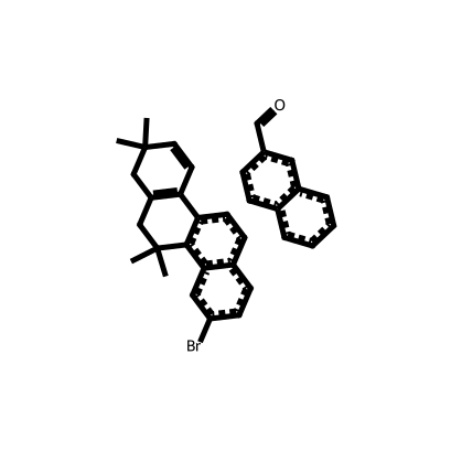 CC1(C)C=CC2=C(C1)CC(C)(C)c1c2ccc2ccc(Br)cc12.O=Cc1ccc2ccccc2c1